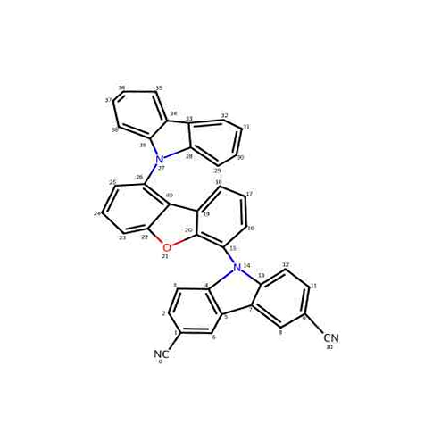 N#Cc1ccc2c(c1)c1cc(C#N)ccc1n2-c1cccc2c1oc1cccc(-n3c4ccccc4c4ccccc43)c12